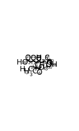 CCC(C)(C)C(=O)OC[C@H]1C[C@@H]2C[C@H](C)[C@@]1(CCC(=O)CC(O)CC(=O)O)O2